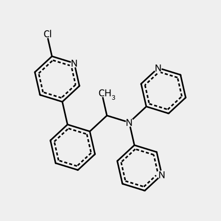 CC(c1ccccc1-c1ccc(Cl)nc1)N(c1cccnc1)c1cccnc1